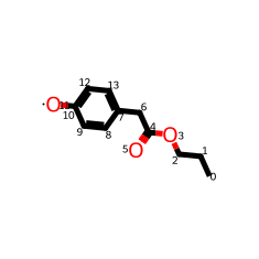 CCCOC(=O)Cc1ccc([O])cc1